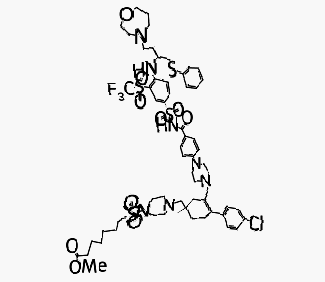 COC(=O)CCCCCCS(=O)(=O)N1CCN(CC2(C)CCC(c3ccc(Cl)cc3)=C(CN3CCN(c4ccc(C(=O)NS(=O)(=O)c5ccc(NC(CCN6CCCOCC6)CSc6ccccc6)c(S(=O)(=O)C(F)(F)F)c5)cc4)CC3)C2)CC1